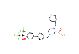 O=C(O)[C@@H]1CN(Cc2ccc(-c3ccc(C(O)(C(F)(F)F)C(F)(F)F)cc3)cc2)CCN1Cc1ccncc1